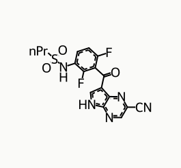 CCCS(=O)(=O)Nc1ccc(F)c(C(=O)c2c[nH]c3ncc(C#N)nc23)c1F